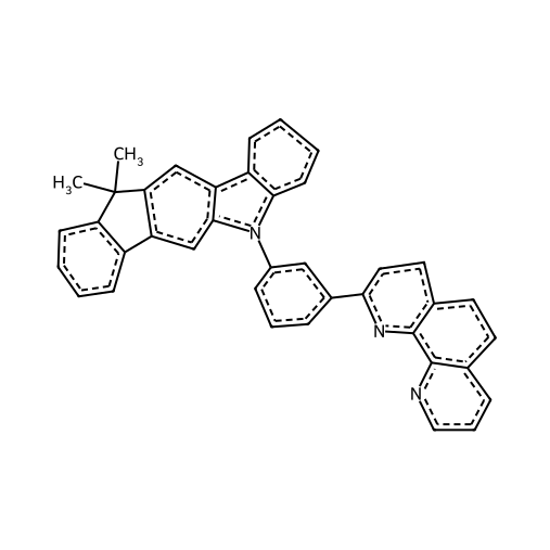 CC1(C)c2ccccc2-c2cc3c(cc21)c1ccccc1n3-c1cccc(-c2ccc3ccc4cccnc4c3n2)c1